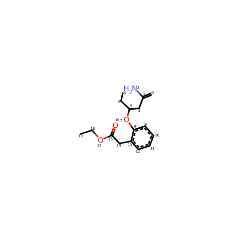 C=C(N)CC(CC)Oc1ccccc1CC(=O)OCC